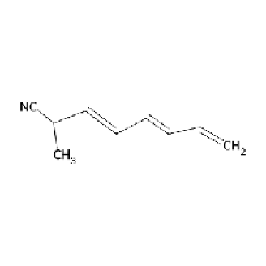 C=CC=CC=CC(C)C#N